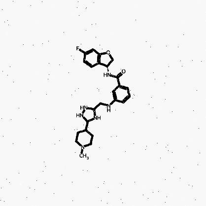 CN1CCC(C2NNC(CNc3cccc(C(=O)N[C@H]4COc5cc(F)ccc54)c3)N2)CC1